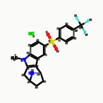 Cl.Cn1c2c(c3cc(S(=O)(=O)c4ccc(C(F)(F)F)cc4)ccc31)C1CCC(C2)N1